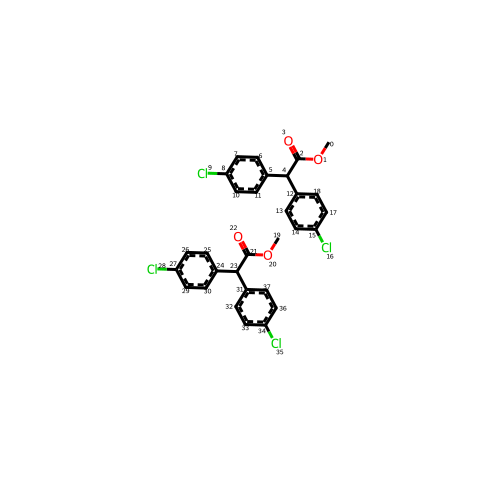 COC(=O)C(c1ccc(Cl)cc1)c1ccc(Cl)cc1.COC(=O)C(c1ccc(Cl)cc1)c1ccc(Cl)cc1